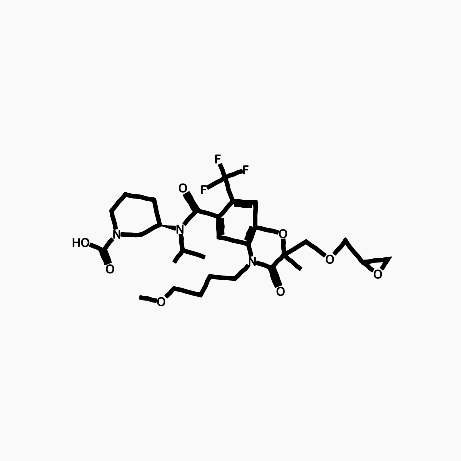 COCCCCN1C(=O)C(C)(COCC2CO2)Oc2cc(C(F)(F)F)c(C(=O)N(C(C)C)[C@@H]3CCCN(C(=O)O)C3)cc21